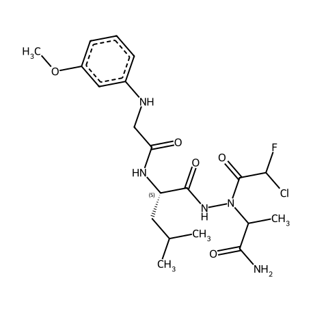 COc1cccc(NCC(=O)N[C@@H](CC(C)C)C(=O)NN(C(=O)C(F)Cl)C(C)C(N)=O)c1